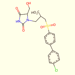 O=C(O)C(CN1C(=O)NC(=O)C1CO)CS(=O)(=O)c1ccc(-c2ccc(Cl)cc2)cc1